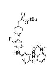 CN(c1ccccc1Nc1nc(Nc2ccc(N3CCC(CC(=O)OC(C)(C)C)CC3)c(F)c2)ncc1Cl)[S+](C)[O-]